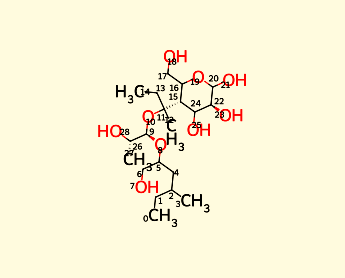 CCC(C)CC(CO)O[C@H](OC(C)(CC)[C@@H]1C(CO)OC(O)[C@@H](O)C1O)[C@H](C)O